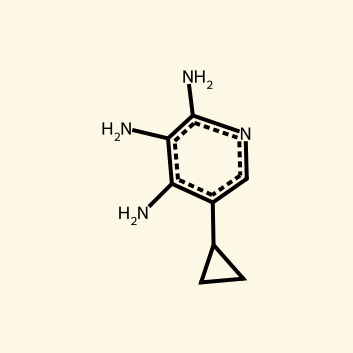 Nc1ncc(C2CC2)c(N)c1N